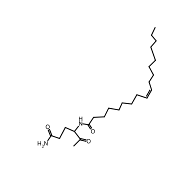 CCCCCCCC/C=C\CCCCCCCC(=O)NC(CCC(N)=O)C(C)=O